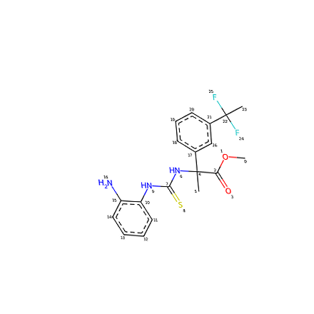 COC(=O)C(C)(NC(=S)Nc1ccccc1N)c1cccc(C(C)(F)F)c1